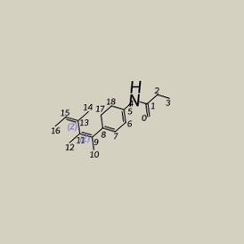 C=C(CC)NC1=CC=C(/C(C)=C(C)\C(C)=C/C)CC1